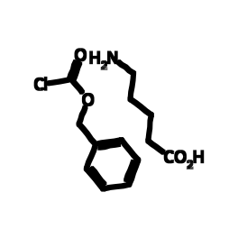 NCCCCC(=O)O.O=C(Cl)OCc1ccccc1